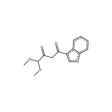 COC(OC)C(=O)CC(=O)c1csc2ccccc12